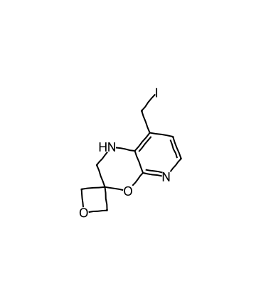 ICc1ccnc2c1NCC1(COC1)O2